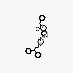 O=C1c2cc(N3CCN(CCC(c4ccccc4)c4ccccc4)CC3)ncc2CCN1Cc1ccccc1